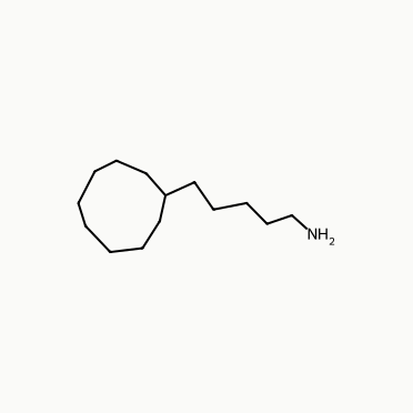 NCCCCCC1CCCCCCCC1